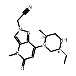 CC[C@@H]1CN(c2cc(=O)n(C)c3cn(CC#N)nc23)[C@@H](C)CN1